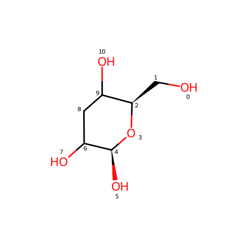 OC[C@H]1O[C@@H](O)C(O)CC1O